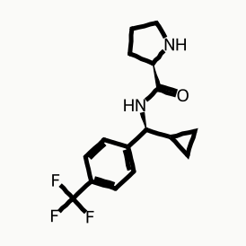 O=C(N[C@H](c1ccc(C(F)(F)F)cc1)C1CC1)[C@H]1CCCN1